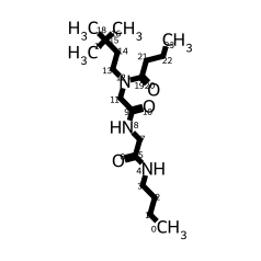 CCCCNC(=O)CNC(=O)CN(CCC(C)(C)C)C(=O)CCC